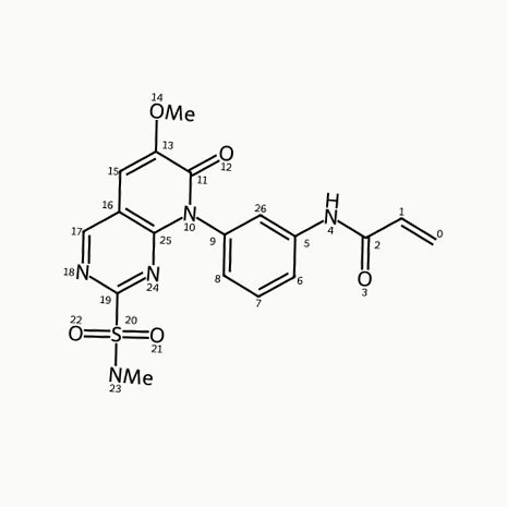 C=CC(=O)Nc1cccc(-n2c(=O)c(OC)cc3cnc(S(=O)(=O)NC)nc32)c1